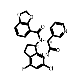 NC(=O)[C@@H](c1cccnc1)N(C(=O)c1cccc2c1OCO2)[C@@H]1CCc2c(F)cc(Cl)cc21